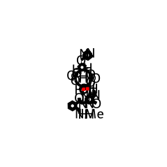 CNCc1ccccc1C(=O)Nc1nc2c(ncn2[C@@H]2O[C@@H]3CO[PH](=O)O[C@H]4C[C@H](Oc5ccncn5)C[C@@H]4CO[PH](=O)O[C@@H]2[C@@H]3O)c(=O)[nH]1